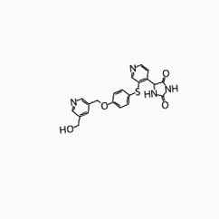 O=C1NC(=O)C(c2ccncc2Sc2ccc(OCc3cncc(CO)c3)cc2)N1